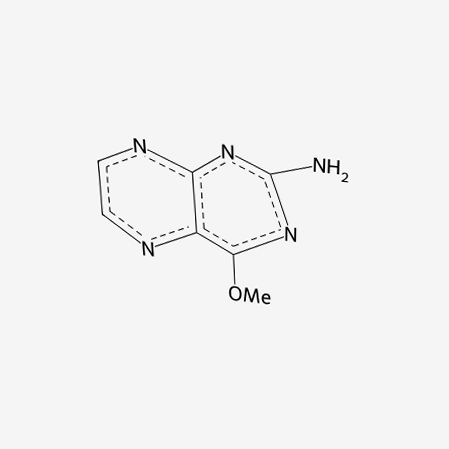 COc1nc(N)nc2nccnc12